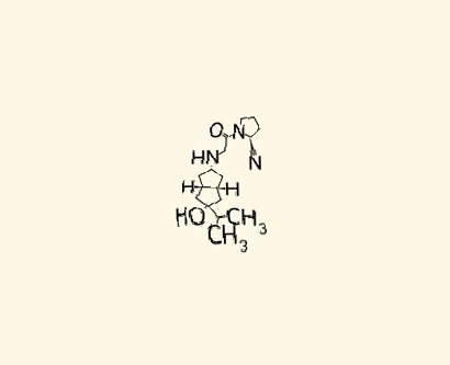 CC(C)C1(O)C[C@H]2C[C@@H](NCC(=O)N3CCC[C@H]3C#N)C[C@H]2C1